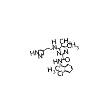 Cc1nc(C(=O)N[C@@H](C)c2ccccc2Cl)nc(NCCc2cn[nH]c2)c1C